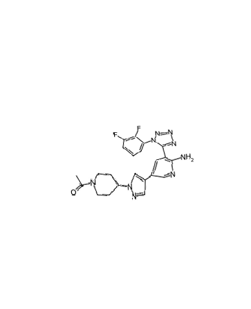 CC(=O)N1CCC(n2cc(-c3cnc(N)c(-c4nnnn4-c4cccc(F)c4F)c3)cn2)CC1